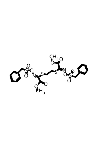 COC(=O)/C(=N/OS(=O)(=O)Cc1ccccc1)SCCS/C(=N\OS(=O)(=O)Cc1ccccc1)C(=O)OC